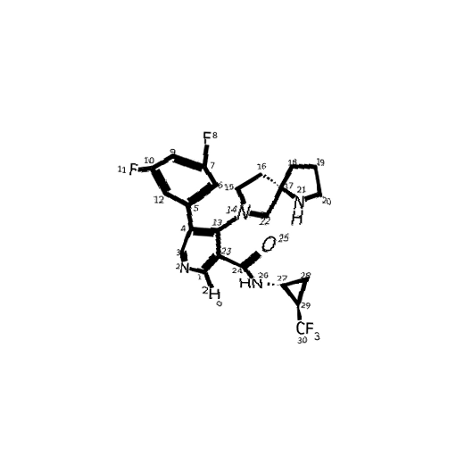 [2H]c1ncc(-c2cc(F)cc(F)c2)c(N2CC[C@@]3(CCCN3)C2)c1C(=O)N[C@@H]1C[C@H]1C(F)(F)F